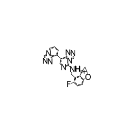 Fc1ccc2c(c1CNc1ncc(-c3cccn4cnnc34)c3nncn13)[C@H]1CC1O2